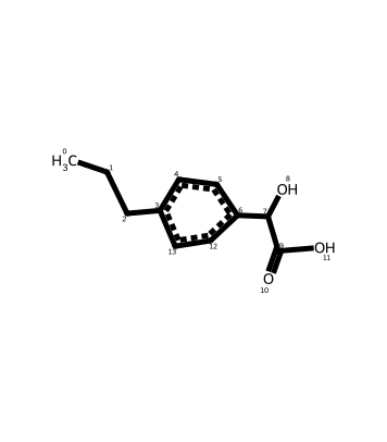 CCCc1ccc(C(O)C(=O)O)cc1